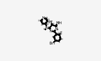 CN(C1=NC(c2cc(Br)ccc2F)=NC(=N)C1=N)c1ccncc1